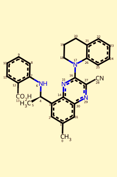 Cc1cc([C@@H](C)Nc2ccccc2C(=O)O)c2nc(N3CCCc4ccccc43)c(C#N)nc2c1